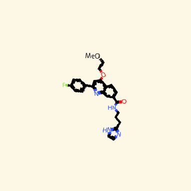 COCCOc1cc(-c2ccc(F)cc2)nc2cc(C(=O)NCCCc3ncc[nH]3)ccc12